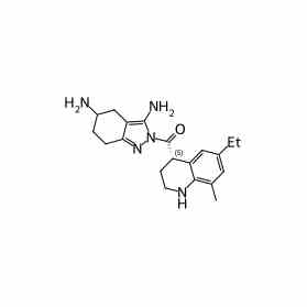 CCc1cc(C)c2c(c1)[C@@H](C(=O)n1nc3c(c1N)CC(N)CC3)CCN2